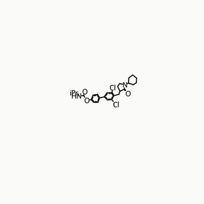 CC(C)NC(=O)Oc1ccc(-c2cc(Cl)c(CC3CCN(C4CCCCC4)C3=O)c(Cl)c2)cc1